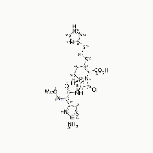 CO/N=C(\C(=O)N[C@@H]1C(=O)N2C(C(=O)O)=C(SCSc3nc[nH]n3)CS[C@@H]12)c1csc(N)n1